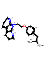 COC(Cc1ccc(OCCn2c3ncccc3c3cccnc32)cc1)C(=O)O